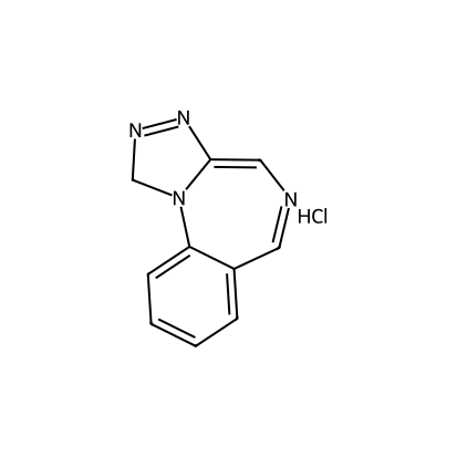 C1=NC=C2N=NCN2c2ccccc21.Cl